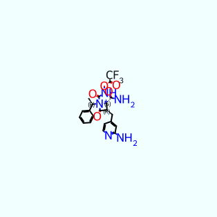 C[C@H](c1ccccc1)[N+]1(C(=O)NOC(=O)C(F)(F)F)C(=O)[C@H](Cc2ccnc(N)c2)[C@H]1C(N)=O